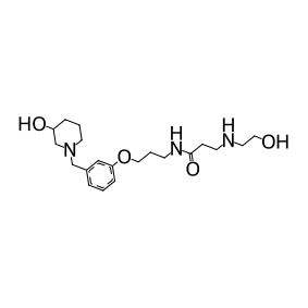 O=C(CCNCCO)NCCCOc1cccc(CN2CCCC(O)C2)c1